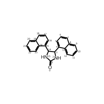 O=C1NC(c2cccc3ccccc23)C(c2cccc3ccccc23)N1